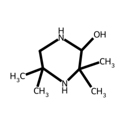 CC1(C)CNC(O)C(C)(C)N1